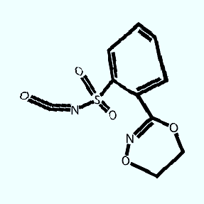 O=C=NS(=O)(=O)c1ccccc1C1=NOCCO1